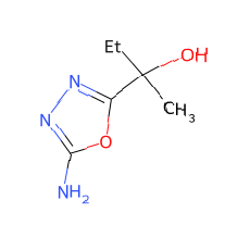 CCC(C)(O)c1nnc(N)o1